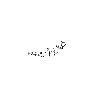 O=C(N[C@H]1CCc2c(C(=O)Nc3ccc(F)c(Cl)c3)ccc(F)c21)OCc1ncn(COP(=O)(O)O)n1